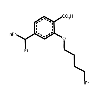 CCCC(CC)c1ccc(C(=O)O)c(OCCCCC(C)C)c1